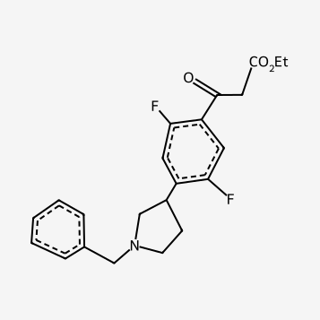 CCOC(=O)CC(=O)c1cc(F)c(C2CCN(Cc3ccccc3)C2)cc1F